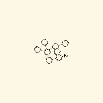 Brc1ccc(-c2ccccc2)c2c3c4c(ccc(-c5ccccc5)c4cc12)-c1c-3ccc(-c2ccccc2)c1-c1ccccc1